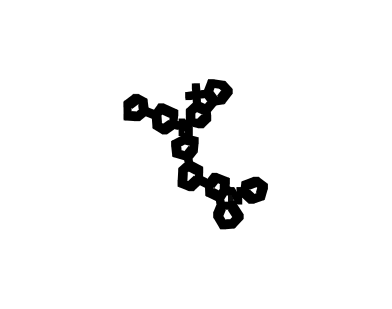 CC1(C)C2=C(C=CCC2)c2ccc(N(c3ccc(-c4ccccc4)cc3)c3ccc(-c4cccc(-c5ccc6c(c5)c5ccccc5n6-c5ccccc5)c4)cc3)cc21